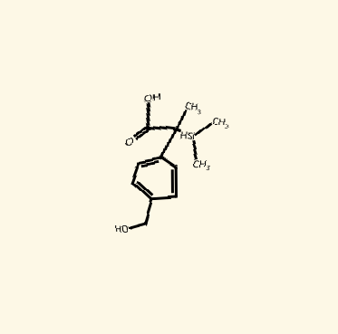 C[SiH](C)C(C)(C(=O)O)c1ccc(CO)cc1